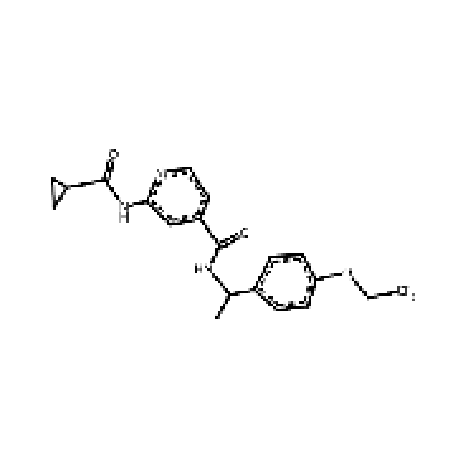 CC(NC(=O)c1ccnc(NC(=O)C2CC2)c1)c1ccc(OCC(F)(F)F)cc1